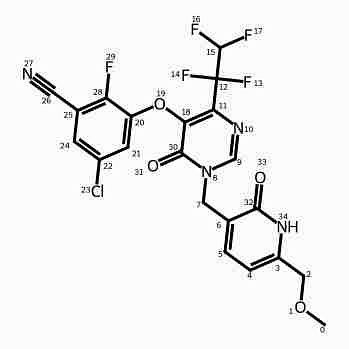 COCc1ccc(Cn2cnc(C(F)(F)C(F)F)c(Oc3cc(Cl)cc(C#N)c3F)c2=O)c(=O)[nH]1